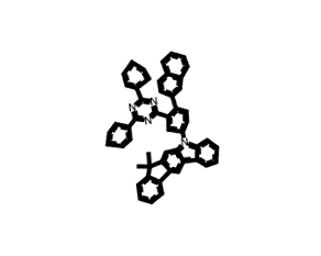 CC1(C)c2ccccc2-c2cc3c4ccccc4n(-c4ccc(-c5ccc6ccccc6c5)c(-c5nc(-c6ccccc6)nc(-c6ccccc6)n5)c4)c3cc21